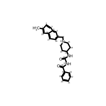 Cc1ccc2cc(CN3CCC(NC(=O)NC(=O)c4ccccc4)CC3)ccc2c1